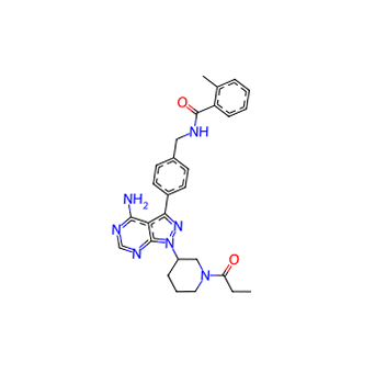 CCC(=O)N1CCCC(n2nc(-c3ccc(CNC(=O)c4ccccc4C)cc3)c3c(N)ncnc32)C1